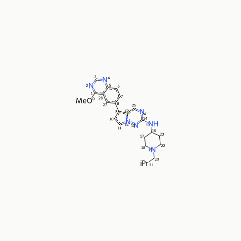 COc1ncnc2ccc(-c3ccn4nc(NC5CCN(CC(C)C)CC5)ncc34)cc12